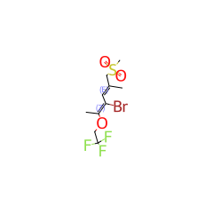 C/C(OCC(F)(F)F)=C(Br)\C=C(/C)CS(C)(=O)=O